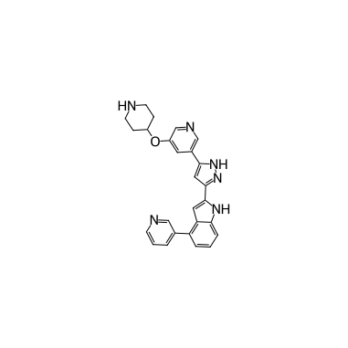 c1cncc(-c2cccc3[nH]c(-c4cc(-c5cncc(OC6CCNCC6)c5)[nH]n4)cc23)c1